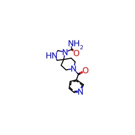 NC(=O)N1CNCC12CCN(C(=O)c1cccnc1)CC2